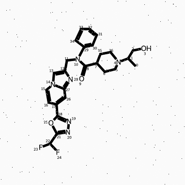 CC(CO)N1CCC(C(=O)N(Cc2cn3ccc(-c4nnc(C(F)F)o4)cc3n2)c2ccccc2)CC1